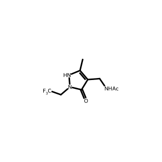 CC(=O)NCc1c(C)[nH]n(CC(F)(F)F)c1=O